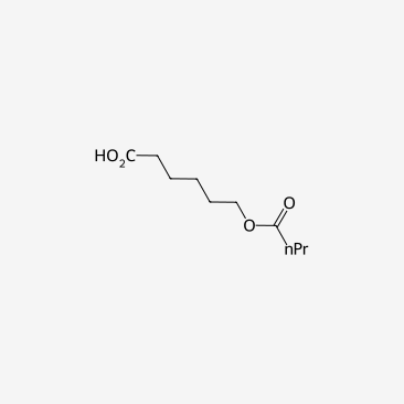 CCCC(=O)OCCCCCC(=O)O